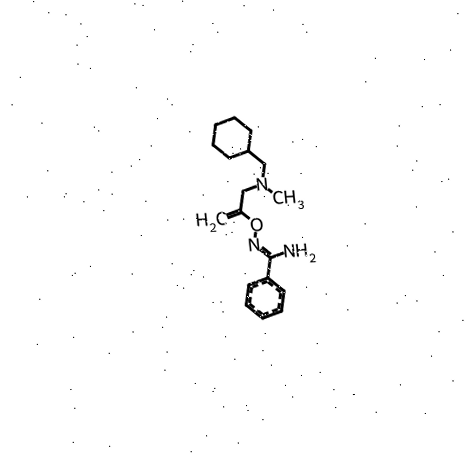 C=C(CN(C)CC1CCCCC1)O/N=C(\N)c1ccccc1